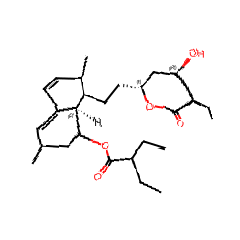 CCC(CC)C(=O)OC1CC(C)C=C2C=CC(C)C(CC[C@@H]3C[C@@H](O)C(CC)C(=O)O3)[C@H]21